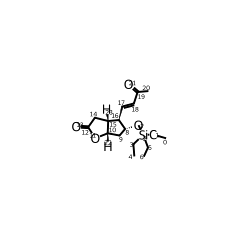 CC[Si](CC)(CC)O[C@@H]1C[C@@H]2OC(=O)C[C@@H]2[C@H]1/C=C/C(C)=O